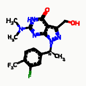 C[C@H](c1ccc(C(F)(F)F)c(F)c1)n1nc(CO)c2c(=O)[nH]c(N(C)C)nc21